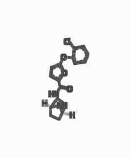 O=C(N[C@@H]1C[C@H]2CC[C@@H]1N2)c1ccc(Oc2ccccc2Cl)o1